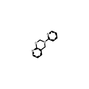 c1ccc(N2COc3ncccc3C2)nc1